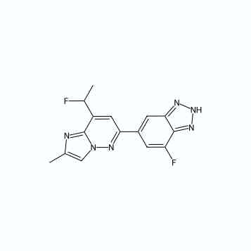 Cc1cn2nc(-c3cc(F)c4n[nH]nc4c3)cc(C(C)F)c2n1